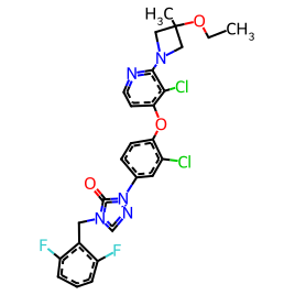 CCOC1(C)CN(c2nccc(Oc3ccc(-n4ncn(Cc5c(F)cccc5F)c4=O)cc3Cl)c2Cl)C1